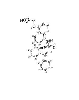 O=C(O)COc1cccc2c(NS(=O)(=O)C=C(c3ccccc3)c3ccccc3)cccc12